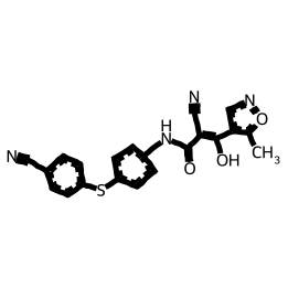 Cc1oncc1/C(O)=C(\C#N)C(=O)Nc1ccc(Sc2ccc(C#N)cc2)cc1